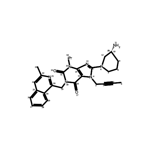 CC#CCn1c(N2CCC[C@@H](N)C2)nc2c1c(=O)n(Cc1nc(C)cc3ccccc13)c(=O)n2C(C)C